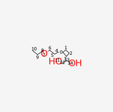 C1CCC1.CCCOCCC.OCCO